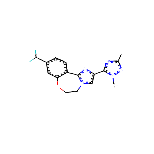 Cc1nc(-c2cn3c(n2)-c2ccc(C(F)F)cc2OCC3)n(C(C)C)n1